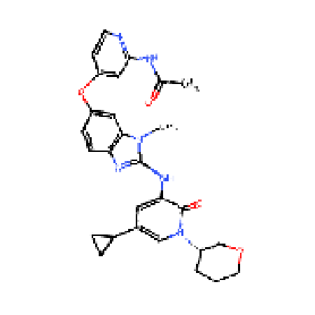 CC(=O)Nc1cc(Oc2ccc3nc(Nc4cc(C5CC5)cn([C@H]5CCCOC5)c4=O)n(C)c3c2)ccn1